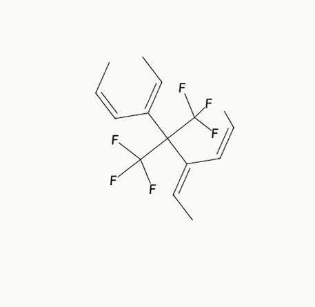 C/C=C\C(=C/C)C(C(/C=C\C)=C/C)(C(F)(F)F)C(F)(F)F